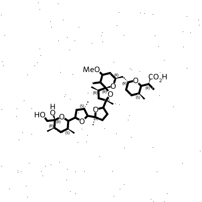 COC1C[C@@H](C[C@H]2CC[C@H](C)C([C@@H](C)C(=O)O)O2)O[C@]2(O[C@](C)(C3CC[C@@](C)(C4OC(C5O[C@@](O)(CO)[C@H](C)C[C@@H]5C)C[C@@H]4C)O3)C[C@H]2C)C1C